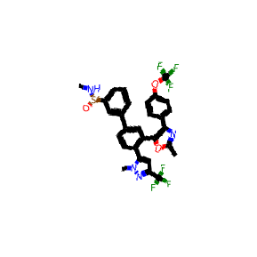 CN[S+]([O-])c1cccc(-c2ccc(-c3cc(C(F)(F)F)nn3C)c(-c3oc(C)nc3-c3ccc(OC(F)(F)F)cc3)c2)c1